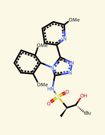 COc1cccc(-c2nnc(NS(=O)(=O)[C@H](C)[C@H](O)C(C)(C)C)n2-c2c(OC)cccc2OC)n1